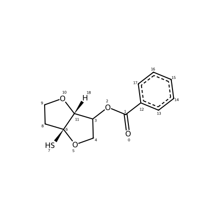 O=C(OC1CO[C@]2(S)CCO[C@H]12)c1ccccc1